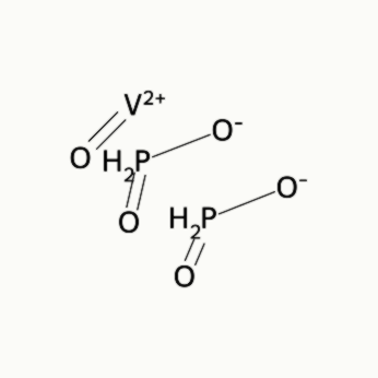 O=[PH2][O-].O=[PH2][O-].[O]=[V+2]